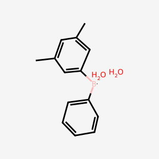 Cc1cc(C)cc([B]c2ccccc2)c1.O.O